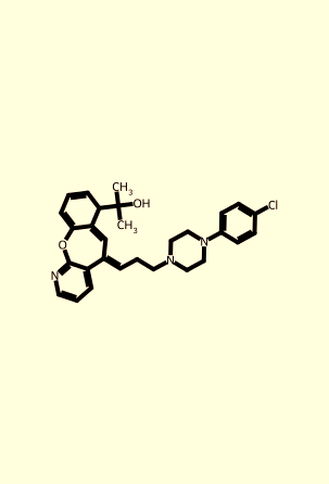 CC(C)(O)C1C=CC=C2Oc3ncccc3C(=CCCN3CCN(c4ccc(Cl)cc4)CC3)C=C21